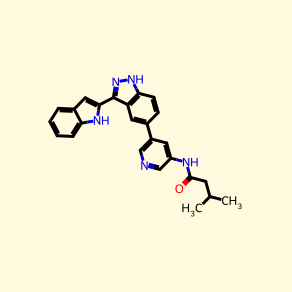 CC(C)CC(=O)Nc1cncc(-c2ccc3[nH]nc(-c4cc5ccccc5[nH]4)c3c2)c1